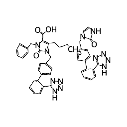 CCCCc1c(C(=O)O)n(Cc2ccccc2)c(=O)n1Cc1ccc(-c2ccccc2-c2nnn[nH]2)cc1.O=c1[nH]ccn1Cc1ccc(-c2ccccc2-c2nnn[nH]2)cc1